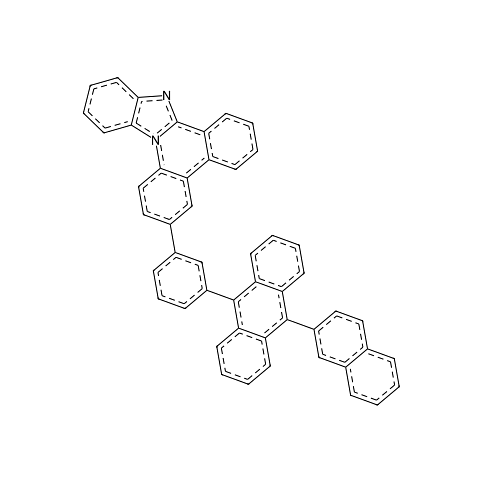 c1cc(-c2ccc3c(c2)c2ccccc2c2nc4ccccc4n32)cc(-c2c3ccccc3c(-c3ccc4ccccc4c3)c3ccccc23)c1